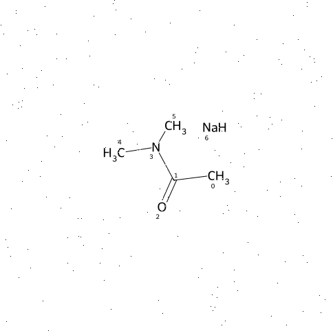 CC(=O)N(C)C.[NaH]